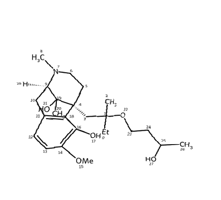 CCC(C)(C[C@]12CCN(C)[C@H](Cc3ccc(OC)c(O)c31)C2(C)O)OCCC(C)O